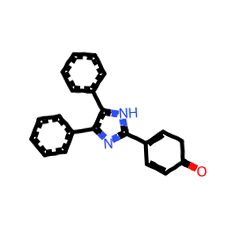 O=C1C=CC(c2nc(-c3ccccc3)c(-c3ccccc3)[nH]2)=CC1